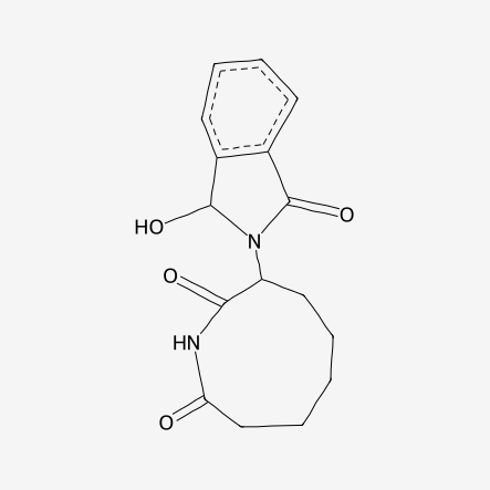 O=C1CCCCCC(N2C(=O)c3ccccc3C2O)C(=O)N1